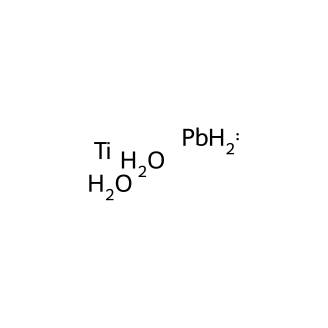 O.O.[PbH2].[Ti]